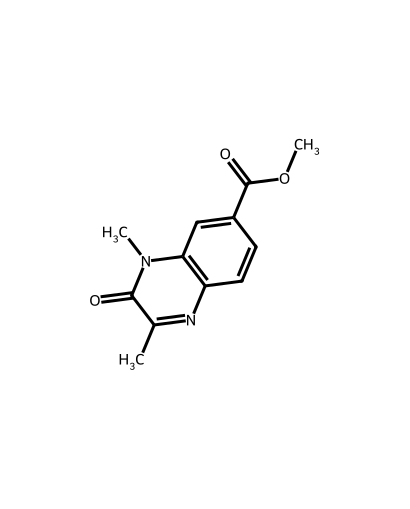 COC(=O)c1ccc2nc(C)c(=O)n(C)c2c1